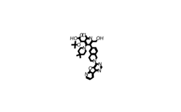 CC1(C)CCN(c2c(-c3ccc4c(c3)CCN(c3ncnc5c3oc3ncccc35)C4)c(CO)nc(Cl)c2[C@H](OC(C)(C)C)C(=O)O)CC1